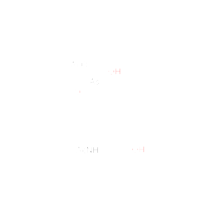 CC(=O)Nc1cc([As](=O)(O)OC(C)=O)ccc1O